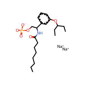 CCCCCCCC(=O)NC(COP(=O)([O-])[O-])c1cccc(OC(CC)CC)c1.[Na+].[Na+]